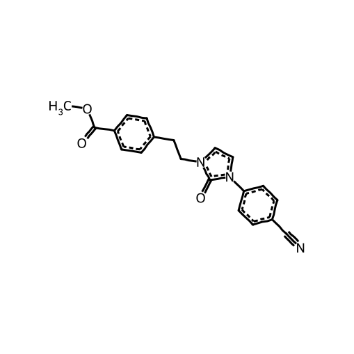 COC(=O)c1ccc(CCn2ccn(-c3ccc(C#N)cc3)c2=O)cc1